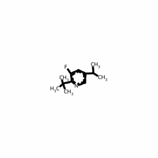 CC(C)c1cnc(C(C)(C)C)c(F)c1